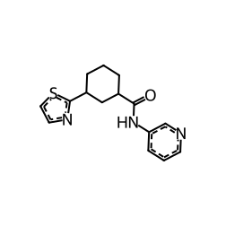 O=C(Nc1cccnc1)C1CCCC(c2nccs2)C1